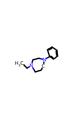 CCN1CCCN(c2ccccc2)CC1